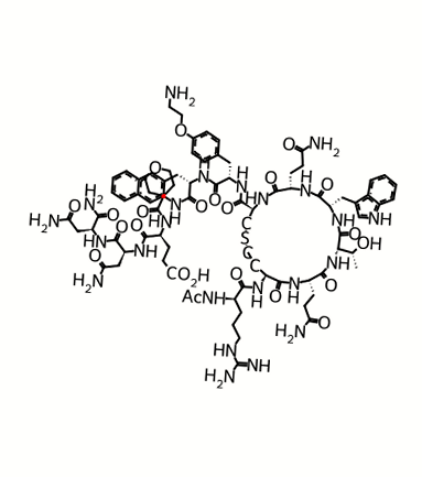 CC(=O)N[C@H](CCCNC(=N)N)C(=O)N[C@H]1CCSC[C@@H](C(=O)N[C@@H](Cc2ccc(OCCN)cc2)C(=O)N[C@@H](Cc2ccc3ccccc3c2)C(=O)NC2(C(=O)N[C@@H](CCC(=O)O)C(=O)N[C@@H](CC(N)=O)C(=O)N[C@@H](CC(N)=O)C(N)=O)CCOCC2)NC(=O)[C@H](CCC(N)=O)NC(=O)[C@H](Cc2c[nH]c3ccccc23)NC(=O)[C@H]([C@@H](C)O)NC(=O)[C@H](CCC(N)=O)NC1=O